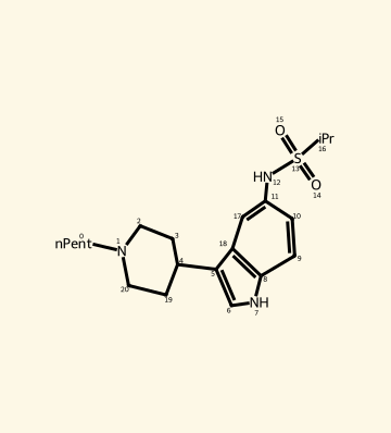 CCCCCN1CCC(c2c[nH]c3ccc(NS(=O)(=O)C(C)C)cc23)CC1